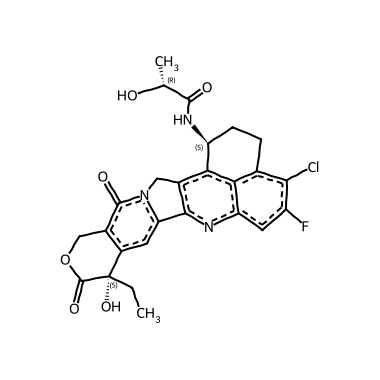 CC[C@@]1(O)C(=O)OCc2c1cc1n(c2=O)Cc2c-1nc1cc(F)c(Cl)c3c1c2[C@@H](NC(=O)[C@@H](C)O)CC3